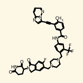 Cc1ccc(C(=O)Nc2ccc(CN3CCN(Cc4cc5c(cc4F)C(=O)N(C4CCC(=O)NC4=O)C5)CC3)c(C(F)(F)F)c2)cc1C#Cc1cnc2cccnn12